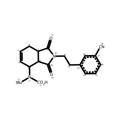 CC(C)(C)N(C(=O)O)C1C=CCC2C(=O)N(CCc3cccc(C#N)c3)C(=O)C21